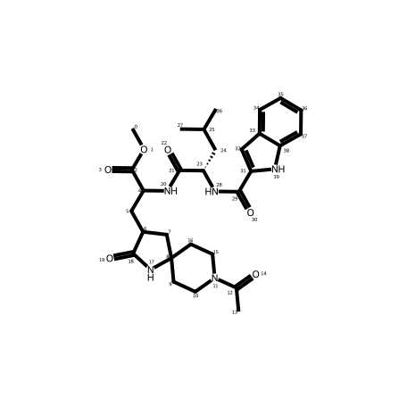 COC(=O)C(CC1CC2(CCN(C(C)=O)CC2)NC1=O)NC(=O)[C@H](CC(C)C)NC(=O)c1cc2ccccc2[nH]1